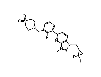 CN1SN(CC2CC2(F)F)c2ccc(-c3cccc(CN4CCS(=O)(=O)CC4)c3F)nc21